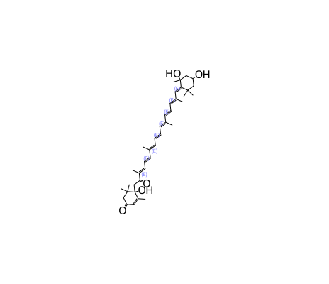 CC1=CC(=O)CC(C)(C)C1(O)CC(=O)/C(C)=C/C=C/C(C)=C/C=C/C=C(C)/C=C/C=C(C)/C=C1\C(C)(C)CC(O)CC1(C)O